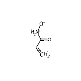 C=CC(=O)[NH2+][O-]